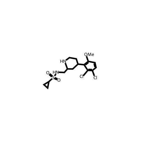 COc1ccc(Cl)c(Cl)c1C1CCNC(CNS(=O)(=O)C2CC2)C1